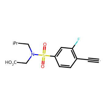 [C]#Cc1ccc(S(=O)(=O)N(CC(=O)O)CC(C)C)cc1F